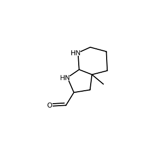 CC12CCCNC1NC(C=O)C2